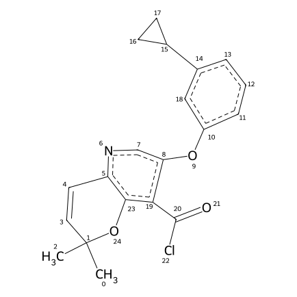 CC1(C)C=Cc2ncc(Oc3cccc(C4CC4)c3)c(C(=O)Cl)c2O1